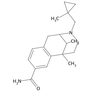 CC1C2Cc3ccc(C(N)=O)cc3C1(C)CCN2CC1(C)CC1